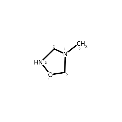 CN1CNOC1